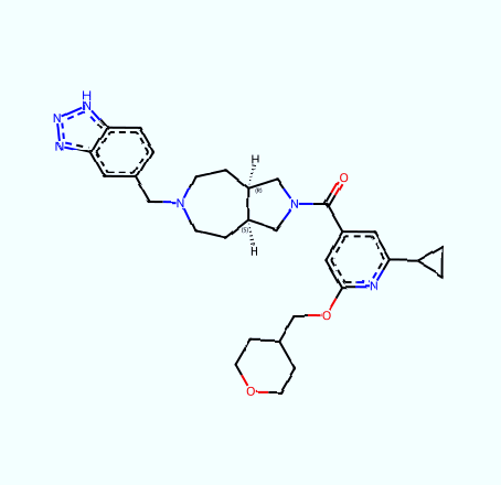 O=C(c1cc(OCC2CCOCC2)nc(C2CC2)c1)N1C[C@H]2CCN(Cc3ccc4[nH]nnc4c3)CC[C@H]2C1